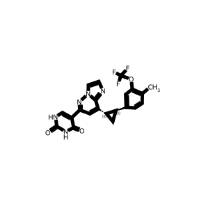 Cc1ccc([C@H]2C[C@@H]2c2cc(-c3c[nH]c(=O)[nH]c3=O)nn3ccnc23)cc1OC(F)(F)F